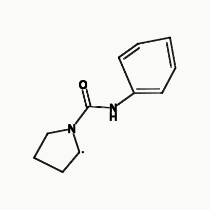 O=C(Nc1ccccc1)N1[CH]CCC1